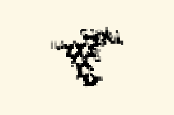 Cc1cc(C(F)(F)F)c2c(n1)N1C(=O)[C@H]3OC(C)(C)O[C@H]3[C@H]1C(=O)N2c1ccc2cccn2n1